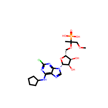 COCC(C)(OC[C@H]1O[C@@H](n2cnc3c(NC4CCCC4)nc(Cl)nc32)[C@H](O)[C@@H]1O)P(=O)(O)O